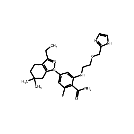 CCc1nn(-c2cc(F)c(C(N)=O)c(NCCSCc3ncc[nH]3)c2)c2c1CCC(C)(C)C2